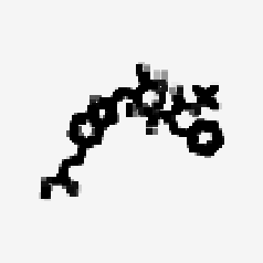 COC(=O)CCc1ccc2oc(CC(NS(=O)(=O)N(Cc3ccccc3)C(=O)OC(C)(C)C)C(=O)O)cc2c1